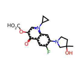 CC1(O)CCN(c2cc3c(cc2F)c(=O)c(OC(=O)O)cn3C2CC2)C1